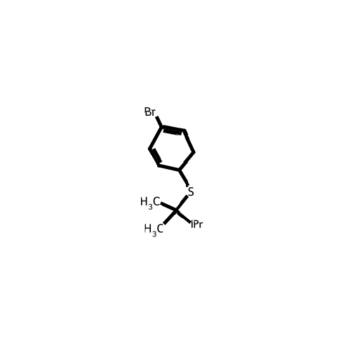 CC(C)C(C)(C)SC1C=CC(Br)=CC1